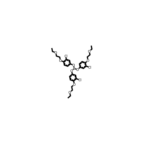 CCOCCOc1ccc(OB(Oc2ccc(OCCOCC)c(Cl)c2)Oc2ccc(OCCOCC)c(Cl)c2)cc1Cl